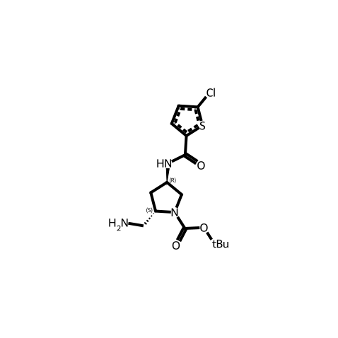 CC(C)(C)OC(=O)N1C[C@H](NC(=O)c2ccc(Cl)s2)C[C@H]1CN